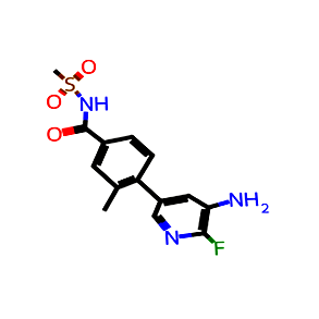 Cc1cc(C(=O)NS(C)(=O)=O)ccc1-c1cnc(F)c(N)c1